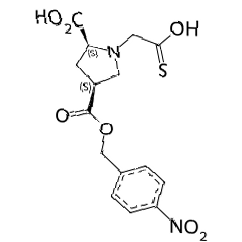 O=C(OCc1ccc([N+](=O)[O-])cc1)[C@H]1C[C@@H](C(=O)O)N(CC(O)=S)C1